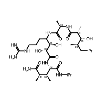 CC(C)C[C@@H](C)[C@@H](O)[C@@H](C)C(=O)N[C@H](C)C(=O)NC(CCCNC(=N)N)[C@@H](O)[C@@H](O)C(=O)N[C@H](C(=O)NC(C)C)[C@@H](C)[C@@H](C)C(N)=O